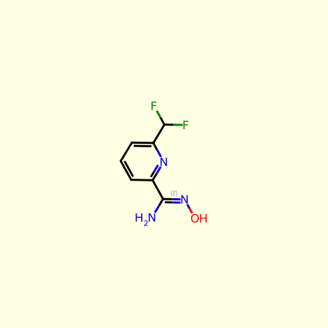 N/C(=N\O)c1cccc(C(F)F)n1